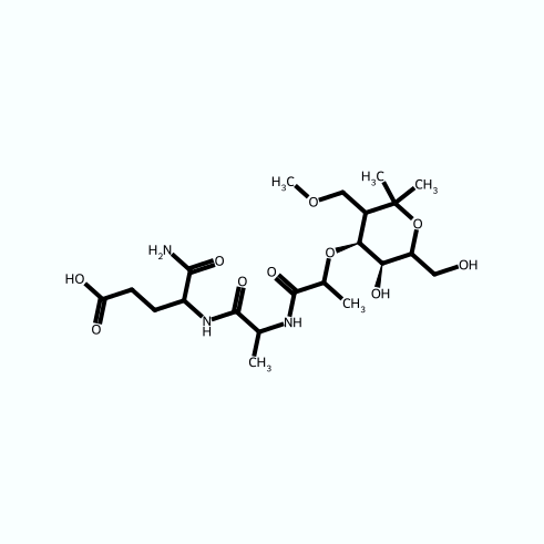 COCC1[C@H](OC(C)C(=O)NC(C)C(=O)NC(CCC(=O)O)C(N)=O)[C@H](O)C(CO)OC1(C)C